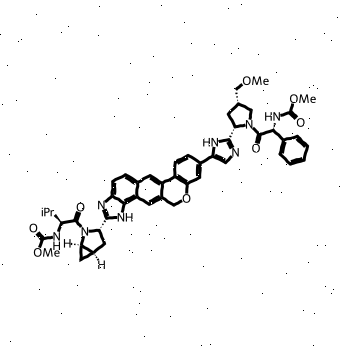 COC[C@H]1C[C@@H](c2ncc(-c3ccc4c(c3)OCc3cc5c(ccc6nc([C@@H]7C[C@H]8C[C@H]8N7C(=O)[C@@H](NC(=O)OC)C(C)C)[nH]c65)cc3-4)[nH]2)N(C(=O)[C@H](NC(=O)OC)c2ccccc2)C1